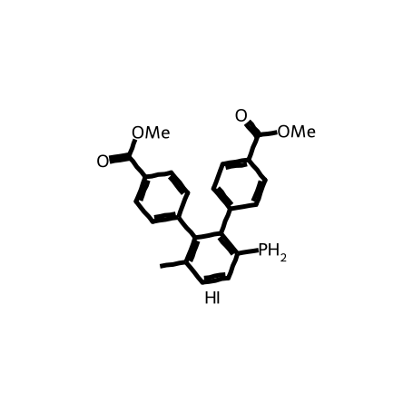 COC(=O)c1ccc(-c2c(C)ccc(P)c2-c2ccc(C(=O)OC)cc2)cc1.I